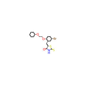 O=C1NC(=S)S/C1=C\c1cc(Br)ccc1OCCOc1ccccc1